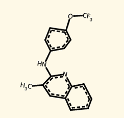 Cc1cc2ccccc2nc1Nc1ccc(OC(F)(F)F)cc1